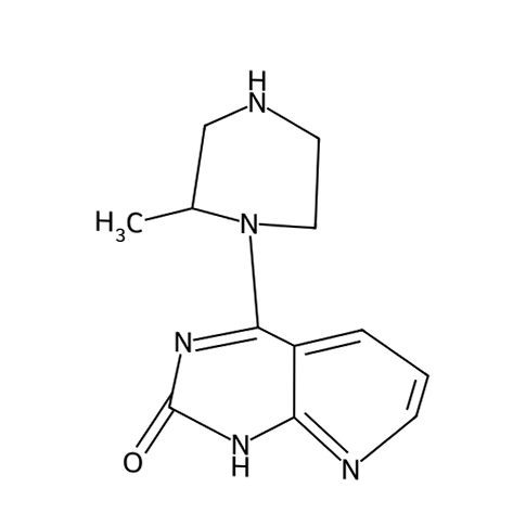 CC1CNCCN1c1nc(=O)[nH]c2ncccc12